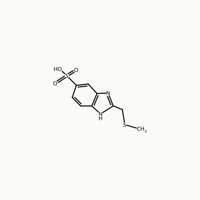 CSCc1nc2cc(S(=O)(=O)O)ccc2[nH]1